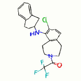 O=C(N1CCc2ccc(Cl)c(NC3Cc4ccccc4C3)c2CC1)C(F)(F)F